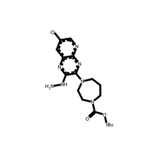 CC(C)(C)OC(=O)N1CCCN(c2nc3ncc(Cl)cc3nc2NN)CC1